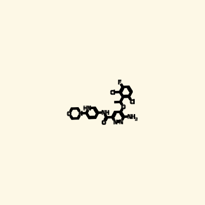 CC(Oc1cc(C(=O)NC2=CNC(N3CCOCC3)C=C2)nnc1N)c1c(Cl)ccc(F)c1Cl